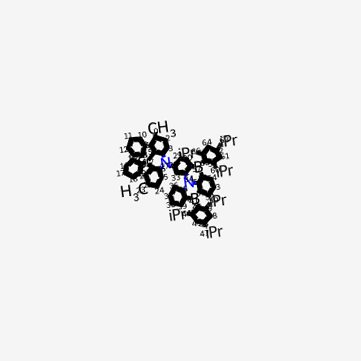 Cc1ccc2c(c1)[Si](c1ccccc1)(c1ccccc1)c1cc(C)ccc1N2c1ccc2c(c1)N1c3ccccc3B(c3c(C(C)C)cc(C(C)C)cc3C(C)C)c3cccc(c31)B2c1c(C(C)C)cc(C(C)C)cc1C(C)C